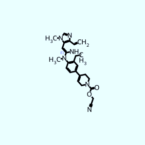 C=Cc1ncn(C)c1/C=C(\N)N(C)c1ccc(C2=CCN(C(=O)OCC#N)CC2)cc1CC